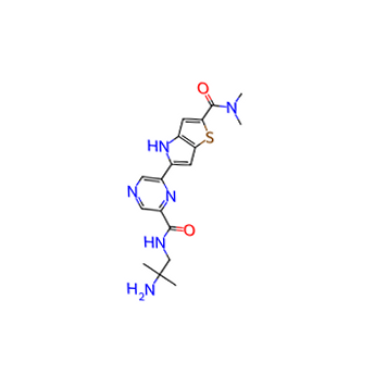 CN(C)C(=O)c1cc2[nH]c(-c3cncc(C(=O)NCC(C)(C)N)n3)cc2s1